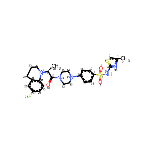 Cc1csc(NS(=O)(=O)c2ccc(N3CCN(C(=O)[C@H](C)N4CCCc5cc(F)ccc54)CC3)cc2)n1